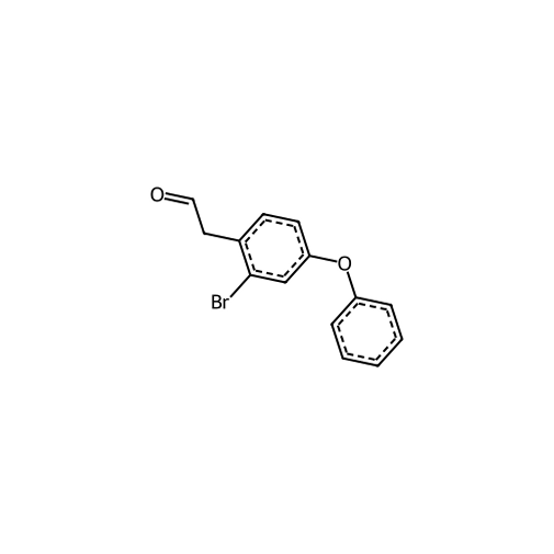 O=CCc1ccc(Oc2ccccc2)cc1Br